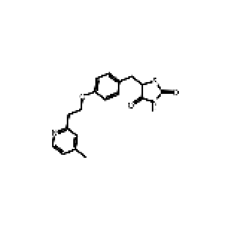 Cc1ccnc(CCOc2ccc(CC3SC(=O)NC3=O)cc2)c1